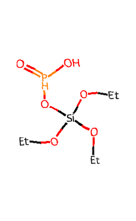 CCO[Si](OCC)(OCC)O[PH](=O)O